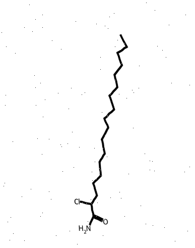 CCCCCCCCCCCCCCCCC(Cl)C(N)=O